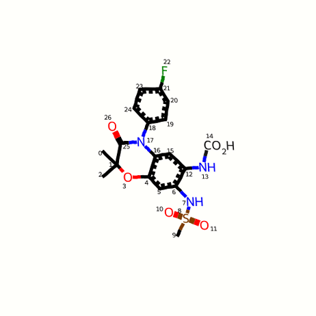 CC1(C)Oc2cc(NS(C)(=O)=O)c(NC(=O)O)cc2N(c2ccc(F)cc2)C1=O